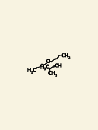 C#CC(C)C.CCCCCOCCCCC